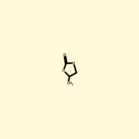 [CH2]C1COC(=O)O1